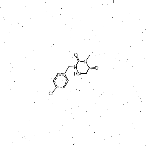 CN1C(=O)CNN(Cc2ccc(Cl)cc2)C1=O